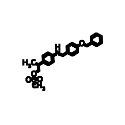 CC(COS(C)(=O)=O)c1ccc(NCc2ccc(OCc3ccccc3)cc2)cc1